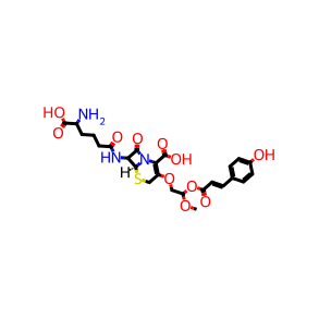 COC(COC1=C(C(=O)O)N2C(=O)C(NC(=O)CCCC(N)C(=O)O)[C@@H]2SC1)OC(=O)C=Cc1ccc(O)cc1